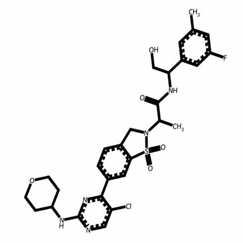 Cc1cc(F)cc(C(CO)NC(=O)C(C)N2Cc3ccc(-c4nc(NC5CCOCC5)ncc4Cl)cc3S2(=O)=O)c1